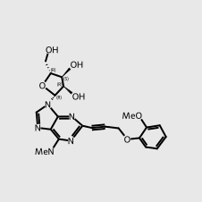 CNc1nc(C#CCOc2ccccc2OC)nc2c1ncn2[C@@H]1O[C@H](CO)[C@@H](O)[C@H]1O